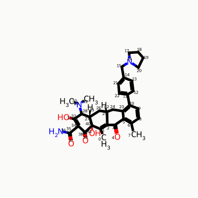 CC1=C2C(=O)c3c(C)ccc(-c4ccc(CN5CCCC5)cc4)c3C[C@H]2C[C@H]2C(N(C)C)C(O)=C(C(N)=O)C(=O)[C@@]12O